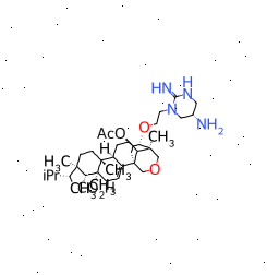 CC(=O)O[C@@H]1C[C@@]23COC[C@@](C)(C2CC[C@H]2C3=CC[C@@]3(C)[C@H](C(=O)O)[C@@](C)([C@H](C)C(C)C)CC[C@]23C)[C@H]1OCCN1C[C@@H](N)CNC1=N